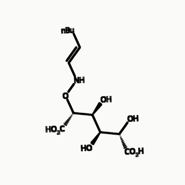 CCCC/C=C/NO[C@@H](C(=O)O)[C@@H](O)[C@H](O)[C@H](O)C(=O)O